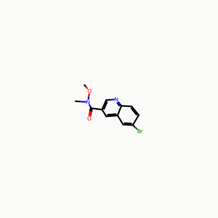 CON(C)C(=O)c1cnc2ccc(Br)cc2c1